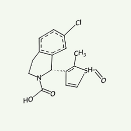 CC1=C([C@H]2c3cc(Cl)ccc3CCN2C(=O)O)C=C[SH]1C=O